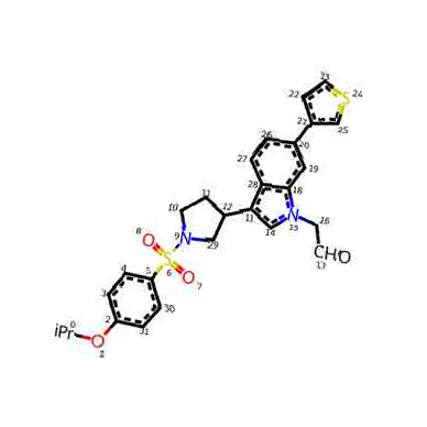 CC(C)Oc1ccc(S(=O)(=O)N2CCC(c3cn(CC=O)c4cc(-c5ccsc5)ccc34)C2)cc1